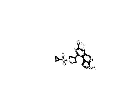 Cc1nc(C2CCN(S(=O)(=O)C3CC3)C2)c2c(cnc3[nH]ccc32)n1